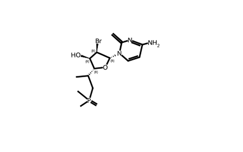 C=C1N=C(N)C=CN1[C@@H]1O[C@H](C(C)CP(=C)(C)C)[C@@H](O)[C@H]1Br